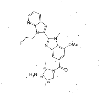 COc1cc(C(=O)N2C[C@H](C)[C@H](N)[C@@H]2C)cc2nc(-c3cc4cccnc4n3CCF)n(C)c12